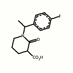 CC(c1ccc(F)cc1)N1CCCC(C(=O)O)C1=O